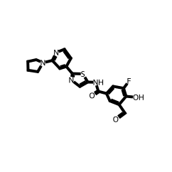 O=Cc1cc(C(=O)Nc2cnc(-c3ccnc(N4CCCC4)c3)s2)cc(F)c1O